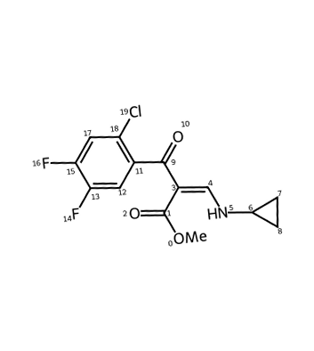 COC(=O)C(=CNC1CC1)C(=O)c1cc(F)c(F)cc1Cl